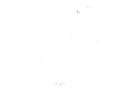 NNc1cccc(-c2ccnc3[nH]c4ccccc4c23)c1